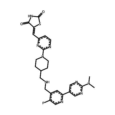 CN(C)c1ncc(-c2cc(CNCC3CCN(c4nccc(/C=C5\SC(=O)NC5=O)n4)CC3)c(F)cn2)cn1